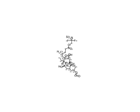 C[C@H](CCC(=O)OCC(F)(F)S(=O)(=O)O)[C@H]1CC[C@H]2[C@@H]3[C@H](O)CC4C[C@H](OC=O)CC[C@]4(C)[C@H]3C[C@H](O)[C@]12C